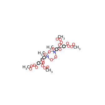 COc1cc2cc(-c3ccc(C(=O)OCOC(C)=O)cc3C(=O)OCOC(C)=O)oc2cc1N1CCOCCOCCN(c2cc3oc(-c4ccc(C(=O)OCOC(C)=O)cc4C(=O)OCOC(C)=O)cc3cc2OC)CCOCC1